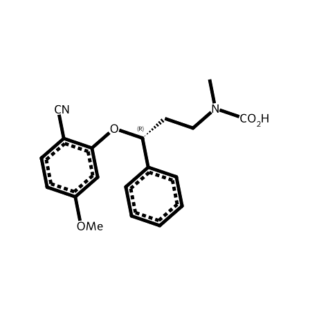 COc1ccc(C#N)c(O[C@H](CCN(C)C(=O)O)c2ccccc2)c1